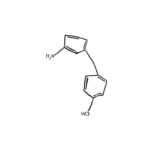 Nc1cccc(Cc2ccc(O)cc2)c1